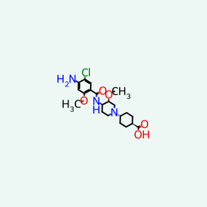 COc1cc(N)c(Cl)cc1C(=O)NC1CCN([C@H]2CC[C@H](C(=O)O)CC2)CC1OC